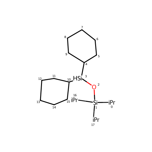 CC(C)[Si](O[SiH](C1CCCCC1)C1CCCCC1)(C(C)C)C(C)C